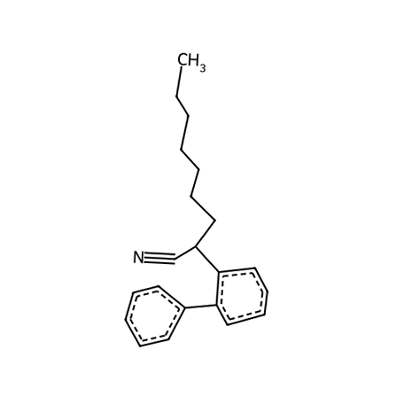 CCCCCCCC(C#N)c1ccccc1-c1ccccc1